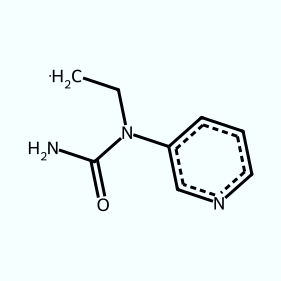 [CH2]CN(C(N)=O)c1cccnc1